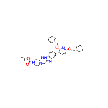 CC(C)(C)OC(=O)N1CCN(Cc2nc3cc(-c4ccc(OCc5ccccc5)nc4OCc4ccccc4)ccc3[nH]2)CC1